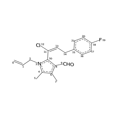 C=CCn1c(C)c(C)c(C=O)c1/C(Cl)=C\Cc1ccc(F)cc1